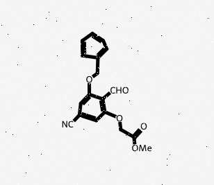 COC(=O)COc1cc(C#N)cc(OCc2ccccc2)c1C=O